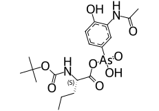 CCC[C@H](NC(=O)OC(C)(C)C)C(=O)O[As](=O)(O)c1ccc(O)c(NC(C)=O)c1